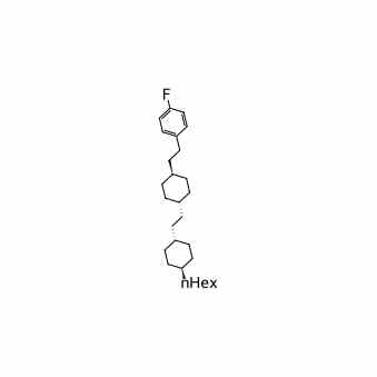 CCCCCC[C@H]1CC[C@H](CC[C@H]2CC[C@H](CCc3ccc(F)cc3)CC2)CC1